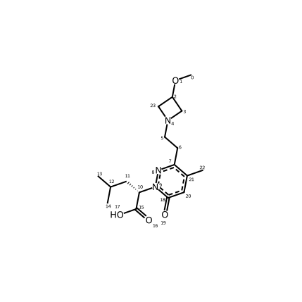 COC1CN(CCc2nn([C@@H](CC(C)C)C(=O)O)c(=O)cc2C)C1